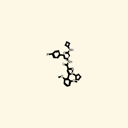 COc1cccc(OC)c1-c1cc(C(=O)N[C@@H](C=Cc2ccc(F)cc2)CC(=O)NC2CCC2)nn1C1CCCC1